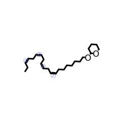 CC/C=C\C/C=C\C/C=C\C/C=C\CCCCCCCOC1CCCCO1